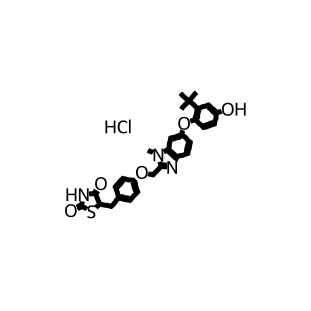 Cl.Cn1c(COc2ccc(CC3SC(=O)NC3=O)cc2)nc2ccc(Oc3ccc(O)cc3C(C)(C)C)cc21